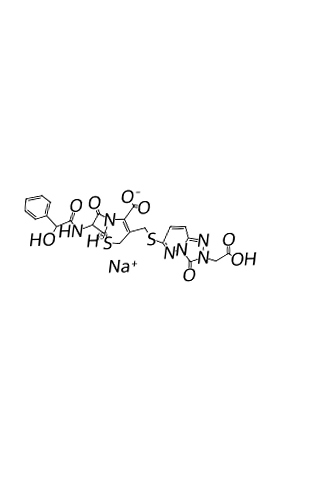 O=C(O)Cn1nc2ccc(SCC3=C(C(=O)[O-])N4C(=O)C(NC(=O)C(O)c5ccccc5)[C@@H]4SC3)nn2c1=O.[Na+]